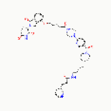 O=C(/C=C/c1cccnc1)NCCCCC1CCN(C(=O)c2ccc(N3CCN(C(=O)CCCCOc4cccc5c4CN(C4CCC(=O)NC4=O)C5=O)CC3)nc2)CC1